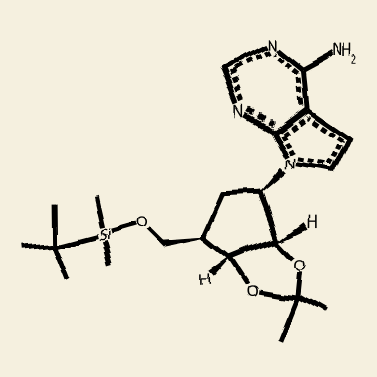 CC1(C)O[C@@H]2[C@@H](CO[Si](C)(C)C(C)(C)C)C[C@@H](n3ccc4c(N)ncnc43)[C@@H]2O1